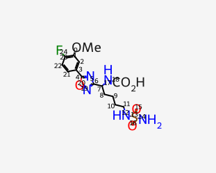 COc1cc(-c2nc(C(CCCCNS(N)(=O)=O)NC(=O)O)no2)ccc1F